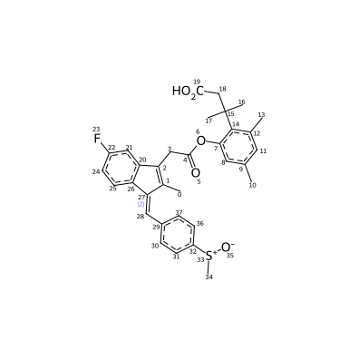 CC1=C(CC(=O)Oc2cc(C)cc(C)c2C(C)(C)CC(=O)O)c2cc(F)ccc2/C1=C/c1ccc([S+](C)[O-])cc1